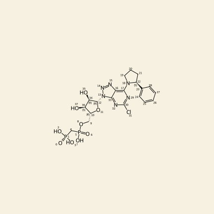 O=P(O)(O)CP(=O)(O)OC[C@H]1O[C@@H](n2nnc3c(N4CCC[C@H]4c4ccccc4)nc(Cl)nc32)[C@H](O)[C@@H]1O